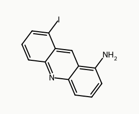 Nc1cccc2nc3cccc(I)c3cc12